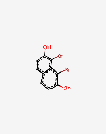 Oc1ccc2ccc(O)c(Br)c2c1Br